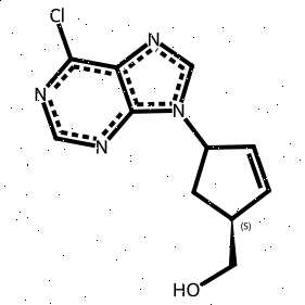 OC[C@@H]1C=CC(n2cnc3c(Cl)ncnc32)C1